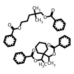 CC(C)(CCCOC(=O)c1ccccc1)COC(=O)c1ccccc1.CC(OC(=O)c1ccccc1)C1(C(C)OC(=O)c2ccccc2)CCCCC1